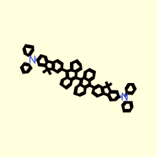 CC1(C)c2cc(-c3c4ccccc4c(-c4c5ccccc5c(-c5ccc6c(c5)C(C)(C)c5cc(N(c7ccccc7)c7ccccc7)ccc5-6)c5ccccc45)c4ccccc34)ccc2-c2ccc(N(c3ccccc3)c3ccccc3)cc21